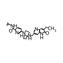 CCc1cc2ncc(CN3CCN(c4ccc(C(=O)NC5CC5)nc4)[C@@H]4CC[C@H]43)cc2[nH]c1=O